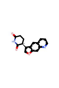 O=C1CC[C@@H](c2coc3cc4ncccc4cc23)C(=O)N1